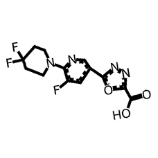 O=C(O)c1nnc(-c2cnc(N3CCC(F)(F)CC3)c(F)c2)o1